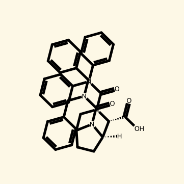 O=C(O)[C@@H]1[C@H]2CCC(CN1C(=O)N(c1ccccc1)c1ccccc1)N2C(=O)N(Cc1ccccc1)Cc1ccccc1